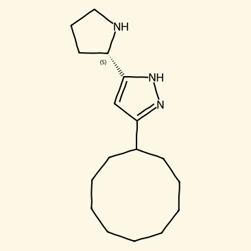 c1c(C2CCCCCCCCC2)n[nH]c1[C@@H]1CCCN1